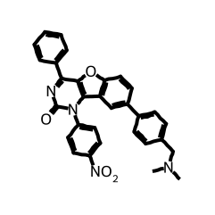 CN(C)Cc1ccc(-c2ccc3oc4c(-c5ccccc5)nc(=O)n(-c5ccc([N+](=O)[O-])cc5)c4c3c2)cc1